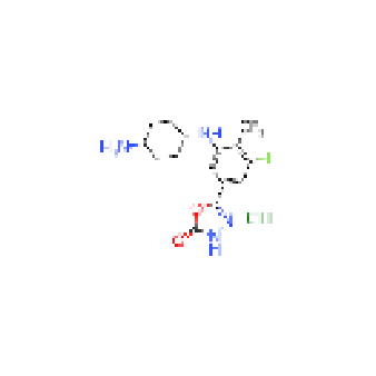 Cl.N[C@H]1CC[C@H](Nc2cc(-c3n[nH]c(=O)o3)cc(F)c2C(F)(F)F)CC1